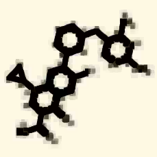 Nc1ncc(Cc2cccc(-c3cc4c(cc3F)c(=O)c(C(=O)O)cn4C3CC3)c2)c(N)n1